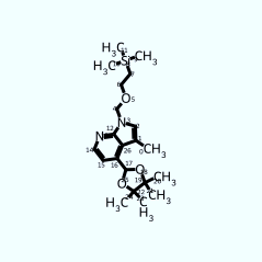 Cc1cn(COCC[Si](C)(C)C)c2nccc(C3OC(C)(C)C(C)(C)O3)c12